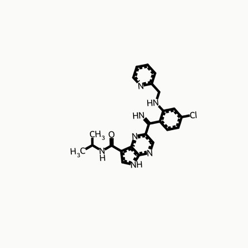 CC(C)NC(=O)c1c[nH]c2ncc(C(=N)c3ccc(Cl)cc3NCc3ccccn3)nc12